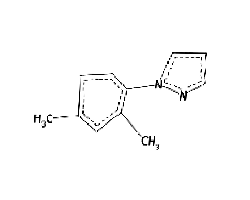 Cc1ccc(-n2cccn2)c(C)c1